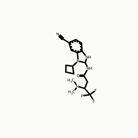 CN(C)C(CC(=O)NC1Nc2ccc(C#N)cc2N1C1CCC1)C(F)(F)F